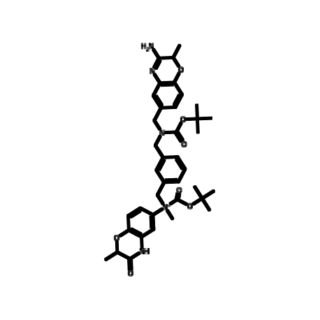 CC1Oc2ccc([N+](C)(Cc3cccc(CN(Cc4ccc5c(c4)N=C(N)C(C)O5)C(=O)OC(C)(C)C)c3)C(=O)OC(C)(C)C)cc2NC1=O